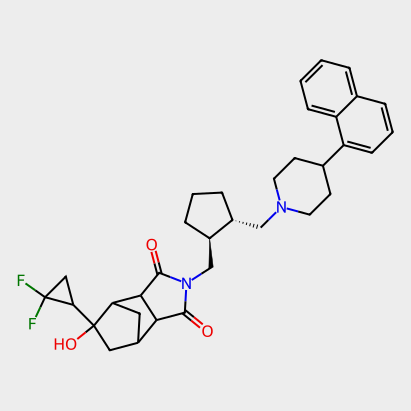 O=C1C2C3CC(C2C(=O)N1C[C@H]1CCC[C@@H]1CN1CCC(c2cccc4ccccc24)CC1)C(O)(C1CC1(F)F)C3